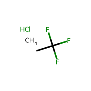 C.CC(F)(F)F.Cl